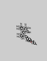 CC1CCC2(OC1)OC1CC3(O)C4CC=C5CC(OC6OC(CO)C(OC7OC(CO)C(O)C(O)C7O)C(OC7OCC(O)C(O)C7O)C6OC6OC(C)C(O)C(O)C6O)CCC5(C)C4CCC3(C)C1(O)C2C